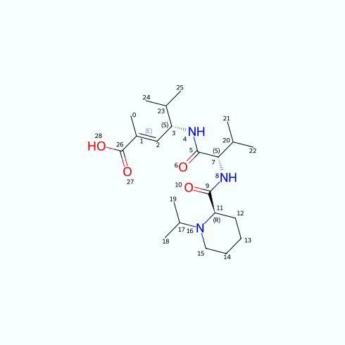 C/C(=C\[C@@H](NC(=O)[C@@H](NC(=O)[C@H]1CCCCN1C(C)C)C(C)C)C(C)C)C(=O)O